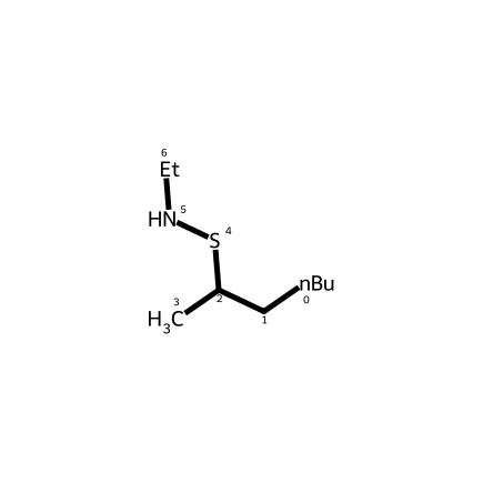 CCCCCC(C)SNCC